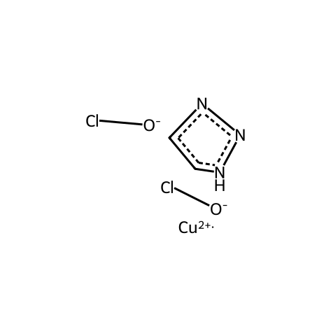 [Cu+2].[O-]Cl.[O-]Cl.c1c[nH]nn1